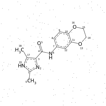 Cc1nc(C(=O)Nc2ccc3c(c2)OCCO3)c(C)[nH]1